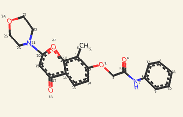 Cc1c(OCC(=O)Nc2ccccc2)ccc2c(=O)cc(N3CCOCC3)oc12